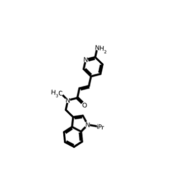 CC(C)n1cc(CN(C)C(=O)C=Cc2ccc(N)nc2)c2ccccc21